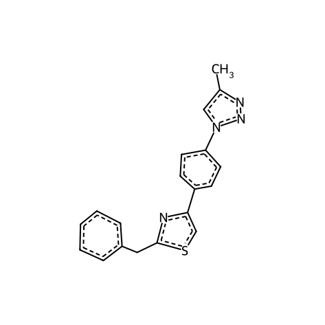 Cc1cn(-c2ccc(-c3csc(Cc4ccccc4)n3)cc2)nn1